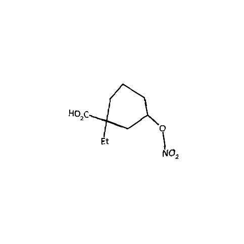 CCC1(C(=O)O)CCCC(O[N+](=O)[O-])C1